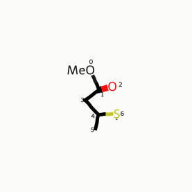 COC(=O)CC(C)[S]